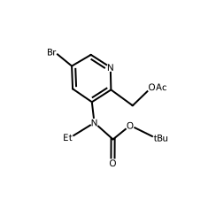 CCN(C(=O)OC(C)(C)C)c1cc(Br)cnc1COC(C)=O